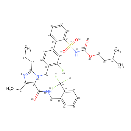 CCCc1nc(CC)c(C(=O)NCc2ccccc2C(F)(F)F)n1Cc1ccc(-c2ccccc2S(=O)(=O)NC(=O)OCCC(C)C)cc1F